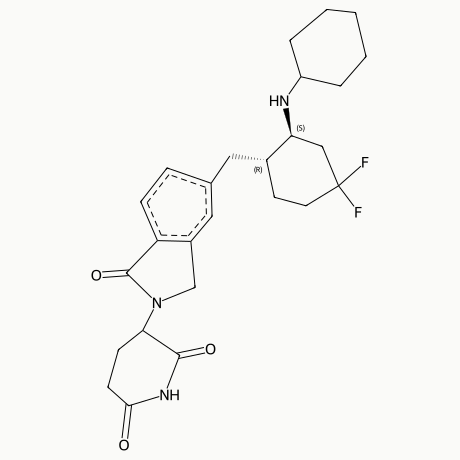 O=C1CCC(N2Cc3cc(C[C@H]4CCC(F)(F)C[C@@H]4NC4CCCCC4)ccc3C2=O)C(=O)N1